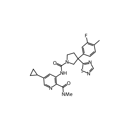 CNC(=O)c1ncc(C2CC2)cc1NC(=O)N1CCC(c2ccc(C)c(F)c2)(c2ncns2)C1